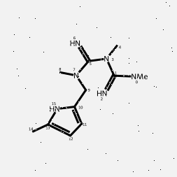 CNC(=N)N(C)C(=N)N(C)Cc1ccc(C)[nH]1